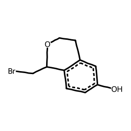 Oc1ccc2c(c1)CCOC2CBr